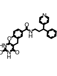 O=C(NCCC(c1ccccc1)c1ccncc1)c1ccc2c(c1)Cc1c([nH]c(=O)[nH]c1=O)O2